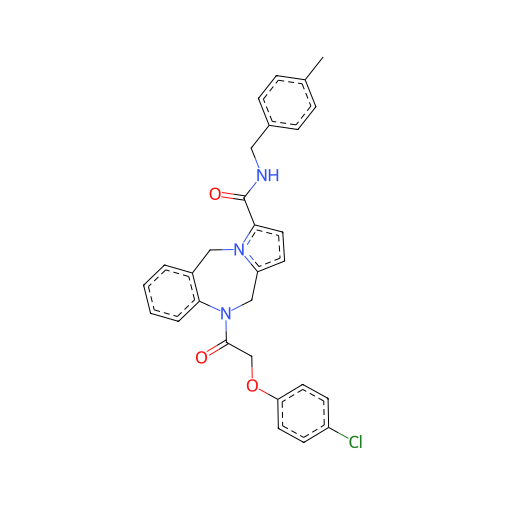 Cc1ccc(CNC(=O)c2ccc3n2Cc2ccccc2N(C(=O)COc2ccc(Cl)cc2)C3)cc1